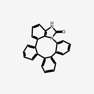 O=c1[nH]c2cccc3c4ccccc4c4ccccc4c4ccccc4n1c23